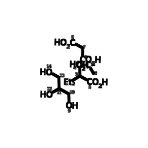 CC(=O)O.CCC(O)C(=O)O.O=C(O)CC(=O)O.OCC(O)CO